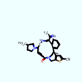 N#Cc1cc2c(s1)CN1C[C@H]2c2ccccc2/C(C(=N)C(F)(F)F)=C/NCC(N2CCC(C(=O)O)C2)/C=C/C1=O